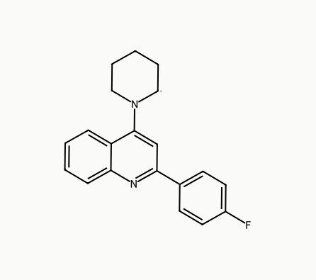 Fc1ccc(-c2cc(N3[CH]CCCC3)c3ccccc3n2)cc1